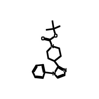 CC(C)(C)OC(=O)N1CCC(c2nccn2-c2ccccc2)CC1